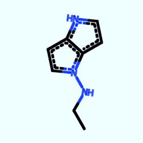 CCNn1ccc2[nH]ccc21